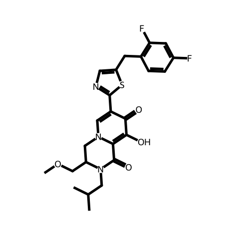 COCC1Cn2cc(-c3ncc(Cc4ccc(F)cc4F)s3)c(=O)c(O)c2C(=O)N1CC(C)C